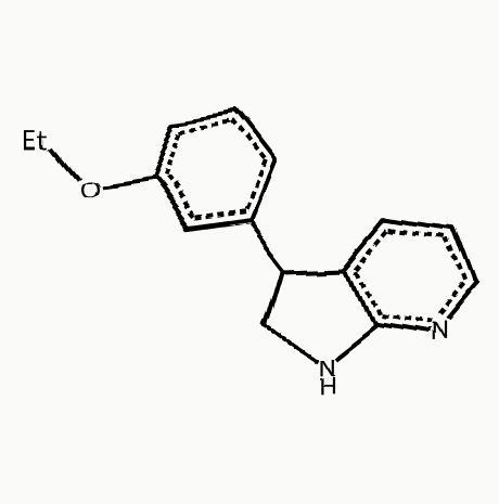 CCOc1cccc(C2CNc3ncccc32)c1